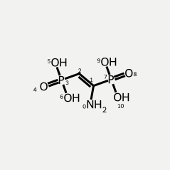 NC(=CP(=O)(O)O)P(=O)(O)O